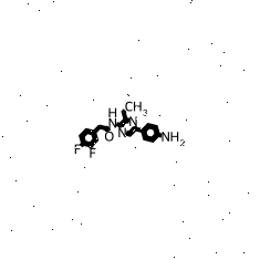 CCc1nc(-c2ccc(N)cc2)cnc1NC(=O)Cc1ccc(F)c(F)c1